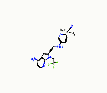 CC(C)(C#N)c1ccc(NCC#Cc2cc3c(N)ccnc3n2CC(F)(F)F)cn1